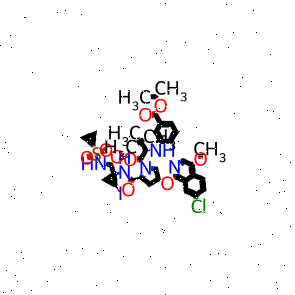 COc1cnc(O[C@@H]2C[C@@H](C(=O)N[C@]3(C(=O)NS(=O)(=O)C4CC4)C[C@H]3I)N(C(=O)[C@@H](Nc3cccc(C(=O)OC(C)C)c3)C(C)(C)C)C2)c2cc(Cl)ccc12